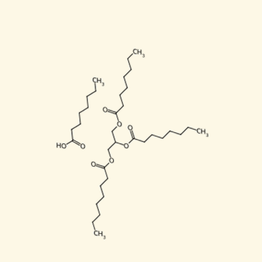 CCCCCCCC(=O)O.CCCCCCCC(=O)OCC(COC(=O)CCCCCCC)OC(=O)CCCCCCC